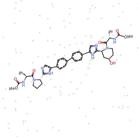 COC(=O)N[C@H](C(=O)N1CCC[C@H]1c1ncc(-c2ccc(-c3ccc(-c4cnc([C@@H]5C[C@H](O)CCN5C(=O)[C@@H](NC(=O)OC)C(C)C)[nH]4)cc3)cc2)[nH]1)C(C)C